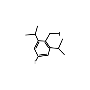 CC(C)c1cc(I)cc(C(C)C)c1CI